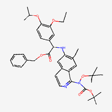 CCOc1cc(C(Nc2cc3ccnc(N(OC(C)(C)C)C(=O)OC(C)(C)C)c3cc2C)C(=O)OCc2ccccc2)ccc1OC(C)C